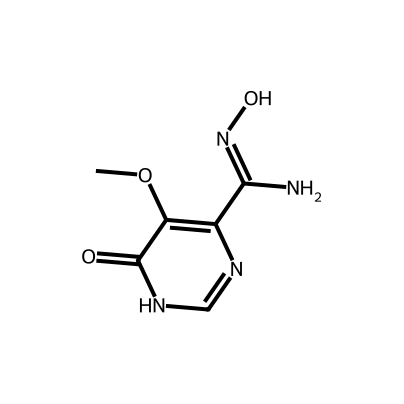 COc1c(/C(N)=N/O)nc[nH]c1=O